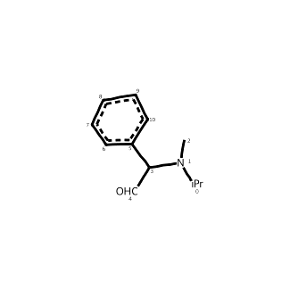 CC(C)N(C)C(C=O)c1ccccc1